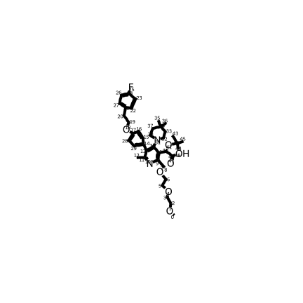 COCCOCCOCc1nc(C)c(-c2ccc(OCCc3ccc(F)cc3)cc2)c(N2CCC(C)(C)CC2)c1[C@H](OC(C)(C)C)C(=O)O